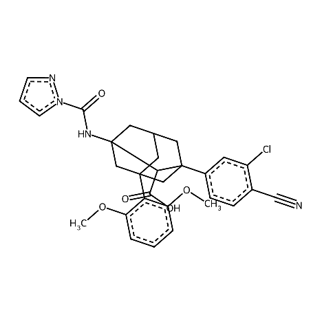 COc1cccc(OC)c1C12CC3CC(NC(=O)n4cccn4)(C1)C(C(=O)O)C(c1ccc(C#N)c(Cl)c1)(C3)C2